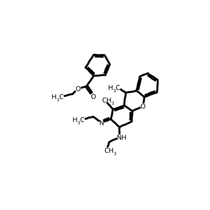 CCN=C1C(C)=C2C(=CC1NCC)Oc1ccccc1C2C.CCOC(=O)c1ccccc1